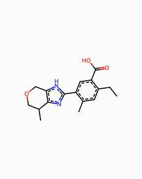 CCc1cc(C)c(-c2nc3c([nH]2)COCC3C)cc1C(=O)O